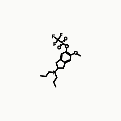 CCCN(CCC)C1Cc2cc(OC)c(OS(=O)(=O)C(F)(F)F)cc2C1